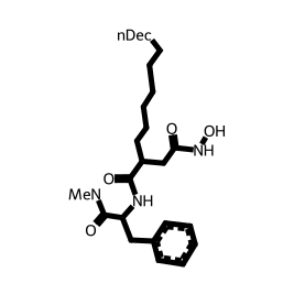 CCCCCCCCCCCCCCCCC(CC(=O)NO)C(=O)NC(Cc1ccccc1)C(=O)NC